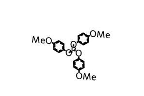 COc1ccc(OP(Oc2ccc(OC)cc2)Oc2ccc(OC)cc2)cc1